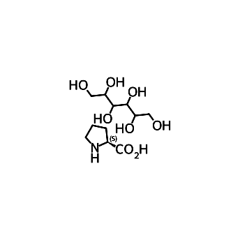 O=C(O)[C@@H]1CCCN1.OCC(O)C(O)C(O)C(O)CO